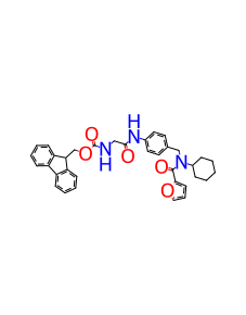 O=C(CNC(=O)OCC1c2ccccc2-c2ccccc21)Nc1ccc(CN(C(=O)c2ccco2)C2CCCCC2)cc1